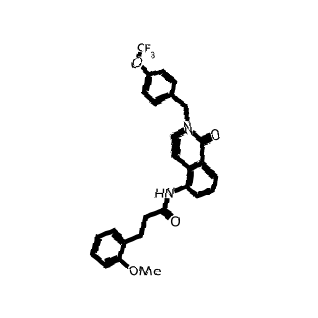 COc1ccccc1CCC(=O)Nc1cccc2c(=O)n(Cc3ccc(OC(F)(F)F)cc3)ccc12